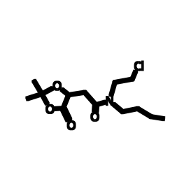 CCCCN(CCCl)C(=O)CC1OC(C)(C)OC1=O